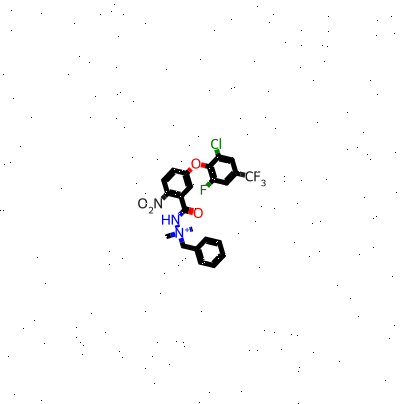 C[N+](C)(Cc1ccccc1)NC(=O)c1cc(Oc2c(F)cc(C(F)(F)F)cc2Cl)ccc1[N+](=O)[O-]